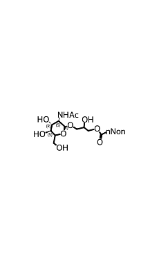 CCCCCCCCCC(=O)OCC(O)CO[C@@H]1OC(CO)[C@@H](O)[C@H](O)[C@@H]1NC(C)=O